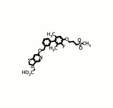 Cc1cc(OCCCS(C)(=O)=O)c(F)c(C)c1-c1cccc(COc2cc3c(cn2)[C@H](CC(=O)O)CS3)c1